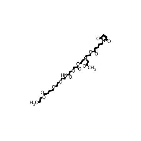 CCCOC(=O)CCCOCCOCCNC(=O)COCC(=O)OCCN(CCOC(=O)CCCCN1C(=O)C=CC1=O)CC(C)=O